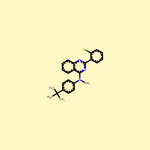 CN(c1ccc(C(C)(C)C)cc1)c1nc(-c2ccccc2Cl)nc2ccccc12